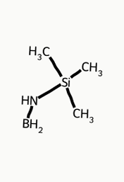 BN[Si](C)(C)C